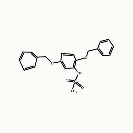 CS(=O)(=O)Nc1cc(OCc2ccccc2)ccc1OCc1ccccc1